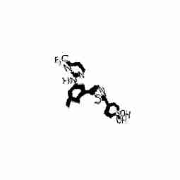 Cc1cc(Nc2nccc(C(F)(F)F)n2)cc(-c2cnc(C3=CCS(O)(O)CC3)s2)c1